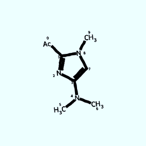 CC(=O)c1nc(N(C)C)cn1C